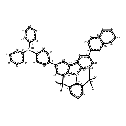 CC1(C)c2cccc3c2-n2c4c1cc(-c1ccc(N(c5ccccc5)c5ccccc5)cc1)cc4c1cc(-c4ccc5ccccc5c4)cc(c12)C3(C)C